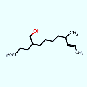 CC=CC(C)CCCCC(CO)CCC(C)CCC